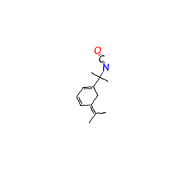 CC(C)=C1C=CC=C(C(C)(C)N=C=O)C1